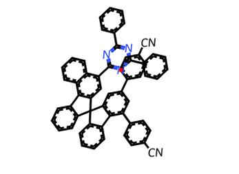 N#Cc1ccc(-c2cc(-c3ccc(C#N)cc3)c3c(c2)C2(c4ccccc4-3)c3ccccc3-c3c2cc(-c2nc(-c4ccccc4)nc(-c4ccccc4)n2)c2ccccc32)cc1